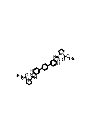 CC(C)(C)OC(=O)N1CCCC1c1nc2cc(-c3ccc(-c4ccc5[nH]c([C@@H]6CCCN6C(=O)OC(C)(C)C)nc5c4)cc3)ccc2[nH]1